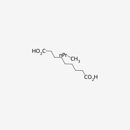 CCCC.O=C(O)CCCCCCCC(=O)O